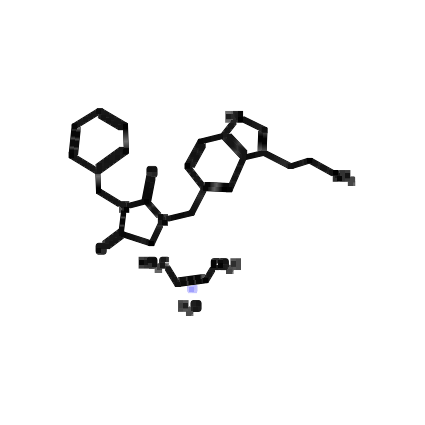 NCCc1c[nH]c2ccc(CN3CC(=O)N(Cc4ccccc4)C3=O)cc12.O.O=C(O)/C=C\C(=O)O